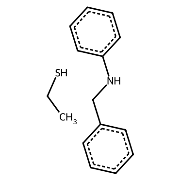 CCS.c1ccc(CNc2ccccc2)cc1